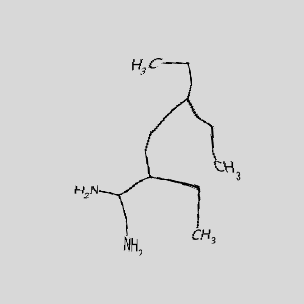 CCC(CC)CC(CC)C(N)N